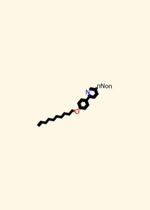 C=CCCCCCCCCOc1ccc(-c2ccc(CCCCCCCCC)cn2)cc1